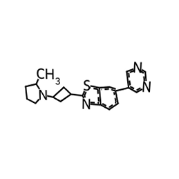 CC1CCCN1C1CC(c2nc3ccc(-c4cncnc4)cc3s2)C1